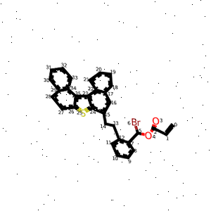 C=CC(=O)OC(Br)c1ccccc1CCc1cc2ccccc2c2c1sc1ccc3ccccc3c12